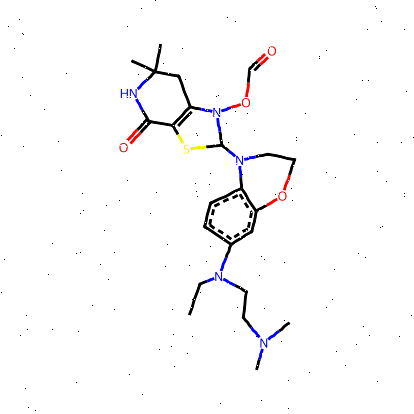 CCN(CCN(C)C)c1ccc2c(c1)OCCN2C1SC2=C(CC(C)(C)NC2=O)N1OC=O